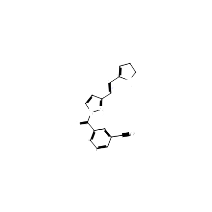 N#Cc1cccc(C(=O)n2ccc(/C=C/C3=CCCS3)n2)c1